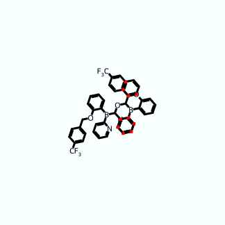 FC(F)(F)c1ccc(COc2ccccc2B(c2ccccn2)C(OC(B(c2ccccn2)c2ccccc2OCc2ccc(C(F)(F)F)cc2)c2ccccc2)c2ccccc2)cc1